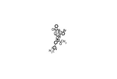 CC(=O)c1nn(CC(=O)N2CC[C@@H](N3C(=O)c4ccccc4C3=O)[C@H]2C(=O)Nc2cccc(Br)n2)c2ccc(-c3cnc(C)nc3)cc12